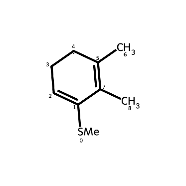 CSC1=CC[CH]C(C)=C1C